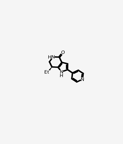 CC[C@H]1CNC(=O)c2cc(-c3ccncc3)[nH]c21